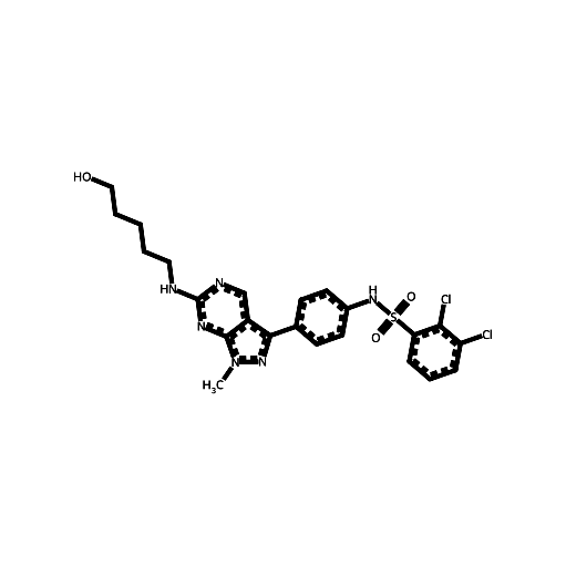 Cn1nc(-c2ccc(NS(=O)(=O)c3cccc(Cl)c3Cl)cc2)c2cnc(NCCCCCO)nc21